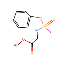 CC(C)OC(=O)CNP(=O)(I)Oc1ccccc1